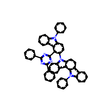 c1ccc(-c2nc(-c3ccccc3)nc(-c3c(-n4c5ccccc5c5c4ccc4c6ccccc6n(-c6ccccc6)c45)ccc4c3c3ccccc3n4-c3ccccc3)n2)cc1